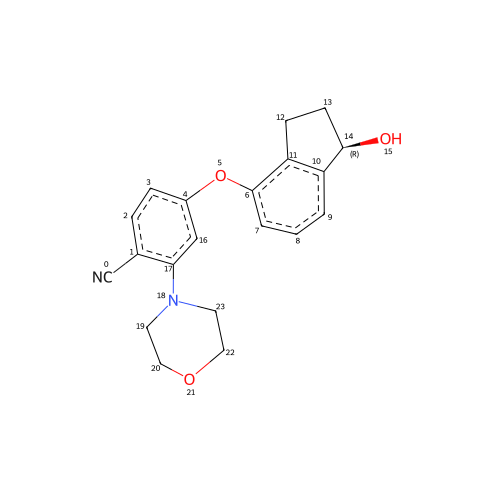 N#Cc1ccc(Oc2cccc3c2CC[C@H]3O)cc1N1CCOCC1